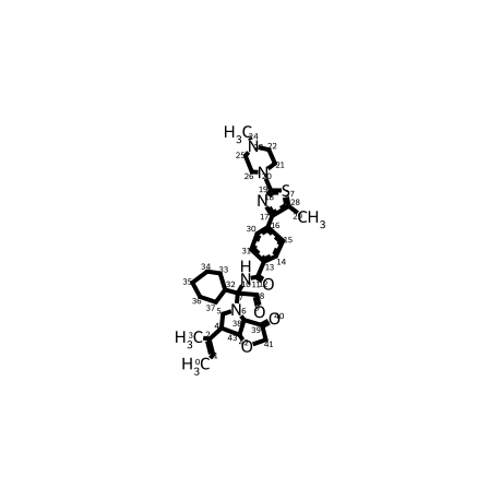 CC=C(C)C1CN(C(C=O)(NC(=O)c2ccc(-c3nc(N4CCN(C)CC4)sc3C)cc2)C2CCCCC2)C2C(=O)COC12